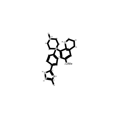 COc1cc2c(c([N+]3(c4ccc(-c5nc(C)no5)cc4)CCN(C)CC3)c1)OCCC2